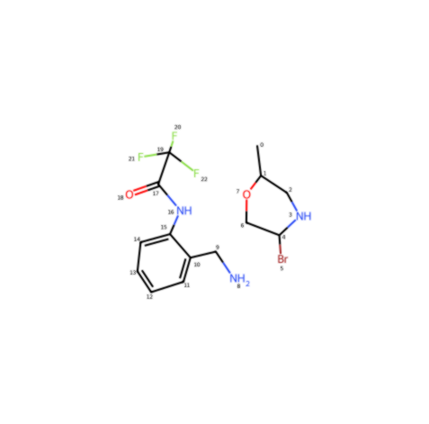 CC1CNC(Br)CO1.NCc1ccccc1NC(=O)C(F)(F)F